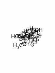 CCOC(=O)CCC(=O)c1ccc(Br)cc1.C[C@]12CC[C@@H](O)C[C@H]1CC[C@@H]1[C@@H]2C(=O)C[C@@]2(C)[C@H]1CC[C@]2(O)C(=O)CO